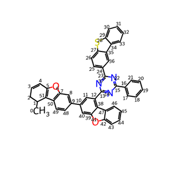 CC1CC=Cc2oc3cc(-c4cc(-c5nc(-c6ccccc6)nc(-c6ccc7sc8ccccc8c7c6)n5)c5c(c4)oc4ccccc45)ccc3c21